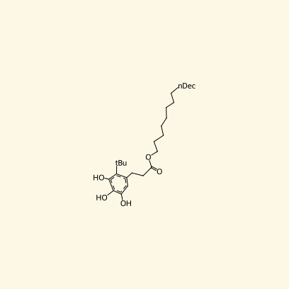 CCCCCCCCCCCCCCCCCCOC(=O)CCc1cc(O)c(O)c(O)c1C(C)(C)C